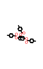 Cc1ccc(C(=O)OC23CC4CC(OC(=O)c5ccc(C)cc5)(C2)CC(OC(=O)c2ccc(C)cc2)(C4)C3)cc1